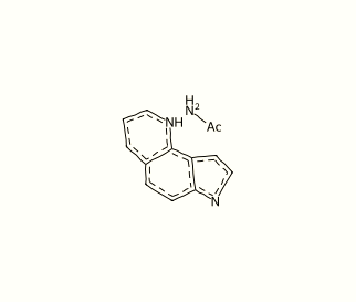 CC(N)=O.c1c[nH]c2c(c1)ccc1nccc12